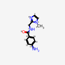 Cn1ccnc1CNC(=O)c1ccc(N)cc1